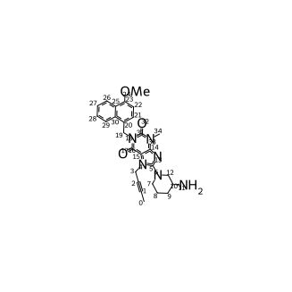 CC#CCn1c(N2CCC[C@H](N)C2)nc2c1c(=O)n(Cc1ccc(OC)c3ccccc13)c(=O)n2C